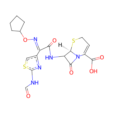 O=CNc1nc(/C(=N\OC2CCCC2)C(=O)NC2C(=O)N3C(C(=O)O)=CCS[C@H]23)cs1